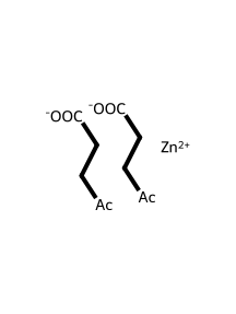 CC(=O)CCC(=O)[O-].CC(=O)CCC(=O)[O-].[Zn+2]